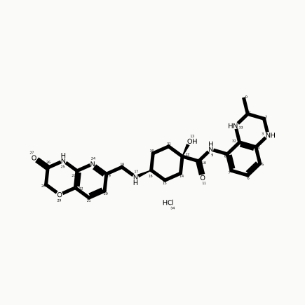 CC1CNc2cccc(NC(=O)[C@]3(O)CC[C@@H](NCc4ccc5c(n4)NC(=O)CO5)CC3)c2N1.Cl